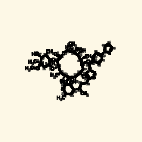 CC[C@H]1OC(=O)[C@H](C)[C@@H](O[C@H]2C[C@@](C)(OC)[C@@H](O)[C@H](C)O2)[C@H](C)[C@@H](O[C@@H]2O[C@H](C)C[C@H](N(C)CCc3cn(Cc4ccc(-n5cccn5)cc4)nn3)[C@H]2O)[C@](C)(O)C[C@@H](C)CN(C)[C@H](C)[C@@H](O)[C@]1(C)O